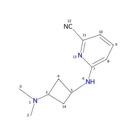 CN(C)C1CC(Nc2cccc(C#N)n2)C1